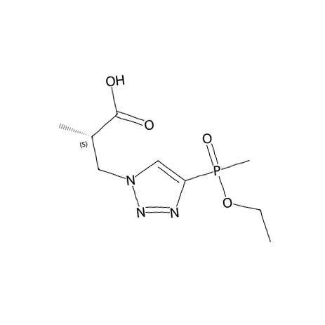 CCOP(C)(=O)c1cn(C[C@H](C)C(=O)O)nn1